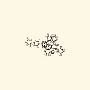 C1=CC(c2ccccc2)CC=C1c1nc(-c2ccccc2)nc(-c2cccc3oc4c(-c5ccccc5)cc(-c5ccccc5)cc4c23)n1